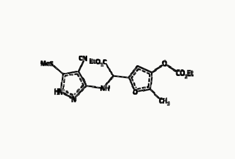 CCOC(=O)Oc1cc(C(Nc2n[nH]c(SC)c2C#N)C(=O)OCC)oc1C